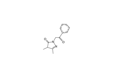 CC1=NN(CC(=O)c2ccccc2)C(=O)C1C